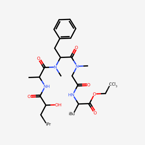 CCC(C)C(NC(=O)CN(C)C(=O)C(Cc1ccccc1)N(C)C(=O)C(C)NC(=O)C(O)CC(C)C)C(=O)OCC(Cl)(Cl)Cl